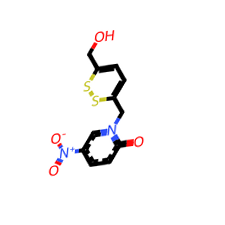 O=c1ccc([N+](=O)[O-])cn1CC1=CC=C(CO)SS1